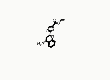 CCOC(=O)c1cnc([C@@H]2C[C@H](N)c3ccccc3O2)s1